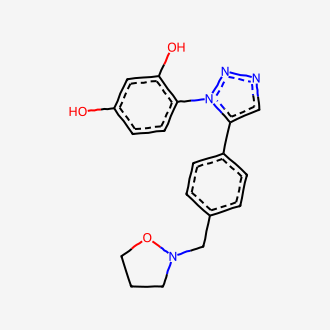 Oc1ccc(-n2nncc2-c2ccc(CN3CCCO3)cc2)c(O)c1